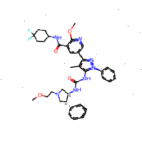 COCCN1C[C@@H](NC(=O)Nc2c(C)c(-c3cnc(OC)c(C(=O)NC4CCC(F)(F)CC4)c3)nn2-c2ccccc2)[C@H](c2ccccc2)C1